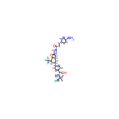 Nc1ccc(/C=C/C(=O)NCc2cc3cc(-c4ccc(C(O)NC5(C(F)(F)F)CC5)cn4)cc(C(F)(F)F)c3o2)cn1